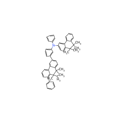 CC1(C)c2ccccc2-c2cc(N(c3ccccc3)c3cccc(-c4ccc5c(c4)-c4cccc(-c6ccccc6)c4C(C)(C)C5(C)C)c3)ccc2C1(C)C